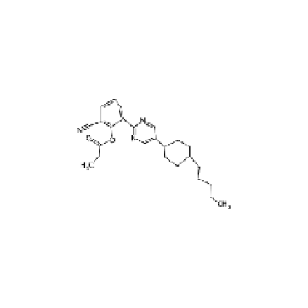 CCCCCC1CCC(c2cnc(-c3cccc(C#N)c3OC(=O)CC)nc2)CC1